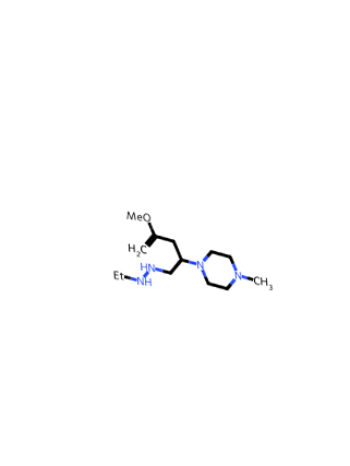 C=C(CC(CNNCC)N1CCN(C)CC1)OC